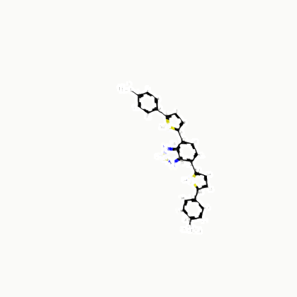 CC(C)(C)c1ccc(-c2ccc(-c3ccc(-c4ccc(-c5ccc(C(C)(C)C)cc5)s4)c4nsnc34)s2)cc1